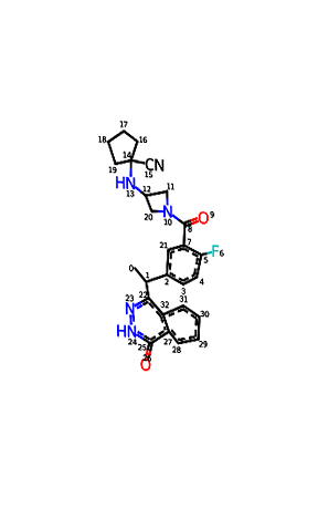 CC(c1ccc(F)c(C(=O)N2CC(NC3(C#N)CCCC3)C2)c1)c1n[nH]c(=O)c2ccccc12